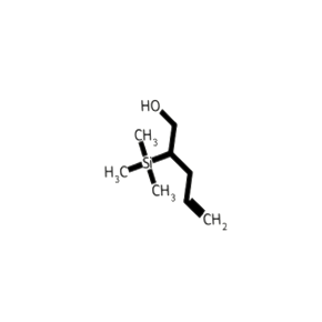 C=CCC(CO)[Si](C)(C)C